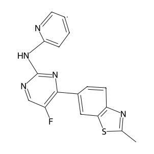 Cc1nc2ccc(-c3nc(Nc4cc[c]cn4)ncc3F)cc2s1